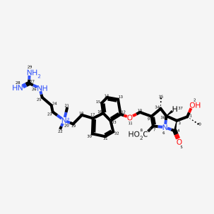 C[C@@H](O)[C@H]1C(=O)N2C(C(=O)O)=C(COc3cccc4c(CC[N+](C)(C)CCCNC(=N)N)cccc34)[C@H](C)[C@H]12